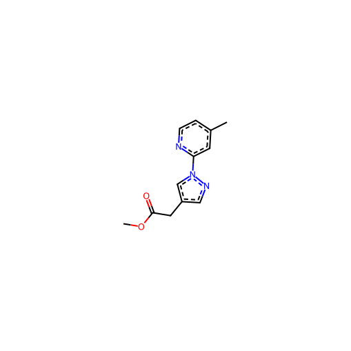 COC(=O)Cc1cnn(-c2cc(C)ccn2)c1